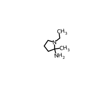 CCN1CCCC1(C)N